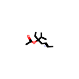 C/C=C/CC(CC)(OC(C)=O)C(C)C